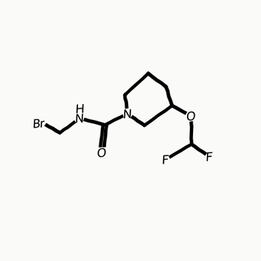 O=C(NCBr)N1CCCC(OC(F)F)C1